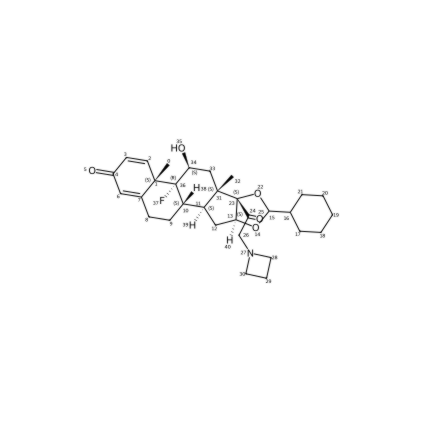 C[C@]12C=CC(=O)C=C1CC[C@H]1[C@@H]3C[C@@H]4OC(C5CCCCC5)O[C@@]4(C(=O)CN4CCC4)[C@@]3(C)C[C@H](O)[C@@]12F